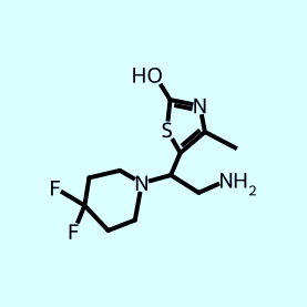 Cc1nc(O)sc1C(CN)N1CCC(F)(F)CC1